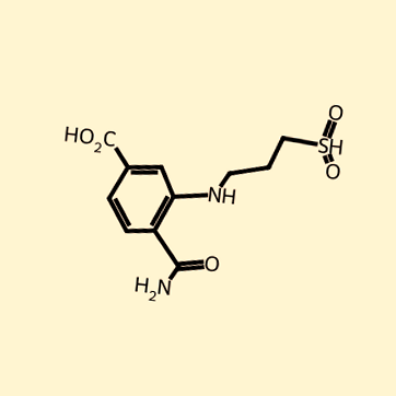 NC(=O)c1ccc(C(=O)O)cc1NCCC[SH](=O)=O